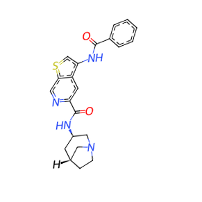 O=C(Nc1csc2cnc(C(=O)N[C@@H]3C[C@H]4CCN(C4)C3)cc12)c1ccccc1